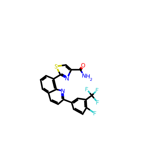 NC(=O)c1csc(-c2cccc3ccc(-c4ccc(F)c(C(F)(F)F)c4)nc23)n1